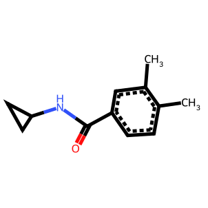 Cc1ccc(C(=O)NC2CC2)cc1C